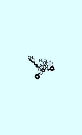 CCCCCCCCCOC1C(OCc2ccccc2)CC(OCc2ccccc2)C1N(C)C(=O)OC(C)(C)C